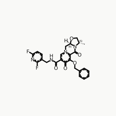 C[C@H]1CO[C@@H]2Cn3cc(C(=O)NCc4ccc(F)nc4F)c(=O)c(OCc4ccccc4)c3C(=O)N12